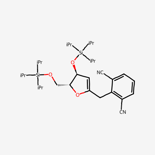 CC(C)[Si](OC[C@H]1OC(Cc2c(C#N)cccc2C#N)=C[C@@H]1O[Si](C(C)C)(C(C)C)C(C)C)(C(C)C)C(C)C